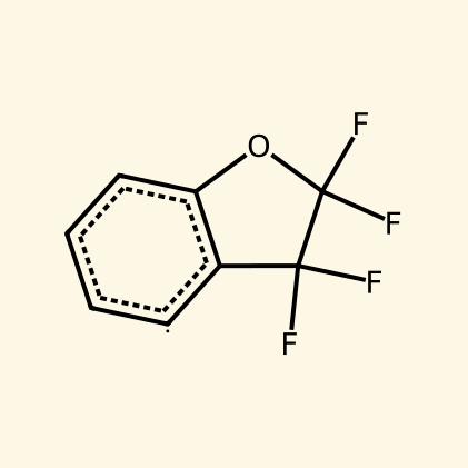 FC1(F)Oc2ccc[c]c2C1(F)F